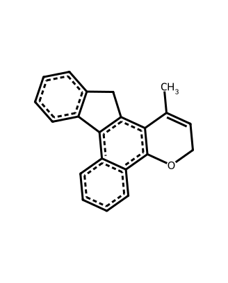 CC1=CCOc2c1c1c(c3ccccc23)-c2ccccc2C1